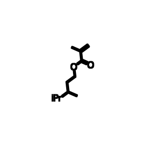 C=C(C)C(=O)OCCC(C)C(C)C